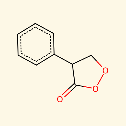 O=C1OOCC1c1ccccc1